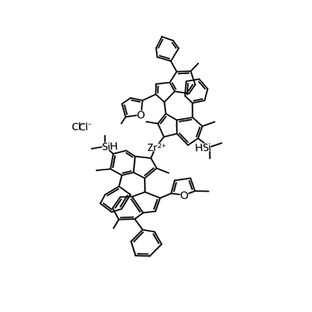 CC1=C(C2C(c3ccc(C)o3)=Cc3c2ccc(C)c3-c2ccccc2)c2c(cc([SiH](C)C)c(C)c2-c2ccccc2)[CH]1[Zr+2][CH]1C(C)=C(C2C(c3ccc(C)o3)=Cc3c2ccc(C)c3-c2ccccc2)c2c1cc([SiH](C)C)c(C)c2-c1ccccc1.[Cl-].[Cl-]